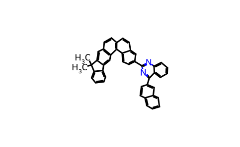 CC1(C)c2ccccc2-c2cc3c(ccc4ccc5cc(-c6nc(-c7ccc8ccccc8c7)c7ccccc7n6)ccc5c43)cc21